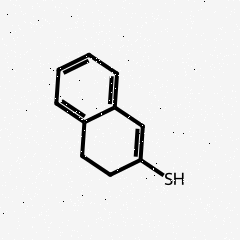 SC1=Cc2ccccc2CC1